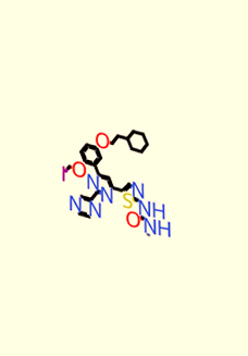 CNC(=O)Nc1ncc(-c2cc(-c3cc(OCCC4CCCCC4)ccc3OCI)nc(-c3cnccn3)n2)s1